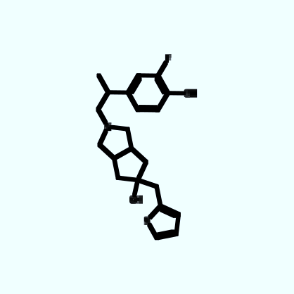 CC(CN1CC2CC(O)(Cc3cccs3)CC2C1)c1ccc(O)c(F)c1